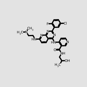 CC(O)CNC(=O)c1cnccc1Nc1nc(-c2cc(Cl)ccc2F)nc2nc(NCCN(C)C)ccc12